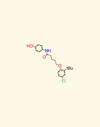 CC(C)(C)c1cc(Cl)ccc1OCCCCC(=O)Nc1ccc(O)cc1